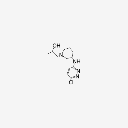 CC(O)CN1CCCC(Nc2ccc(Cl)nn2)C1